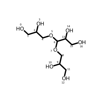 OCC(O)CO[C](OCC(O)CO)C(O)CO